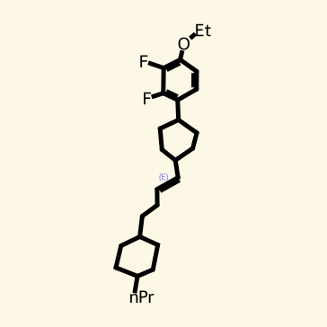 CCCC1CCC(CC/C=C/C2CCC(c3ccc(OCC)c(F)c3F)CC2)CC1